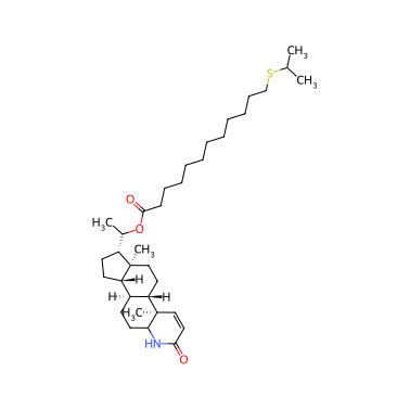 CC(C)SCCCCCCCCCCCC(=O)OC(C)[C@H]1CC[C@H]2[C@@H]3CCC4NC(=O)C=C[C@]4(C)[C@H]3CC[C@]12C